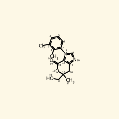 Cc1c(Cl)cccc1-n1cnc2c1C(=O)OC(C)(CO)C2